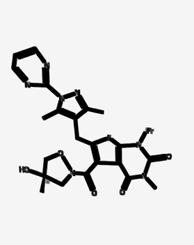 Cc1nn(-c2ncccn2)c(C)c1Cc1sc2c(c1C(=O)N1C[C@](C)(O)CO1)c(=O)n(C)c(=O)n2C(C)C